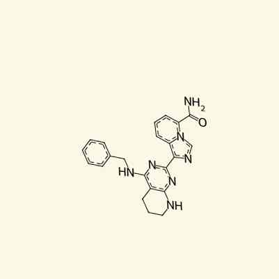 NC(=O)c1cccc2c(-c3nc4c(c(NCc5ccccc5)n3)CCCN4)ncn12